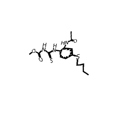 CCCCSc1ccc(NC(=S)NC(=O)OC)c(NC(C)=O)c1